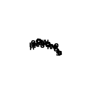 O=C(NCc1ccc(C(=O)Nc2cccc(NC(=O)C(F)(F)F)c2)cc1)OCc1cccs1